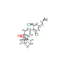 CC(=O)/C=C/c1cc(Cl)c(-c2ccc(O)c(C34CC5CC(CC(C5)C3)C4)c2)c(Cl)c1